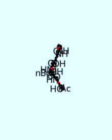 CCCCC(NC(=O)CCC(=O)N(O)CCCCCNC(=O)Nc1ccccc1)N(O)C(=O)CCC(=O)NCCCCCN(O)C(C)=O